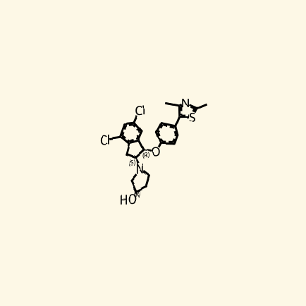 Cc1nc(C)c(-c2ccc(O[C@@H]3c4cc(Cl)cc(Cl)c4C[C@@H]3N3CC[C@@H](O)C3)cc2)s1